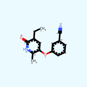 CCc1cc(Oc2cccc(C#N)c2)c(C)[nH]c1=O